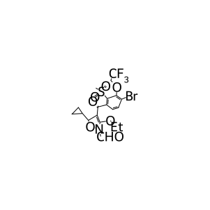 CCOC1=C(C(=O)c2ccc(Br)c(OCC(F)(F)F)c2S(C)(=O)=O)C(C2CC2)ON1C=O